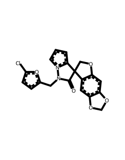 O=C1N(Cc2ccc(Cl)o2)n2cccc2C12COc1cc3c(cc12)OCO3